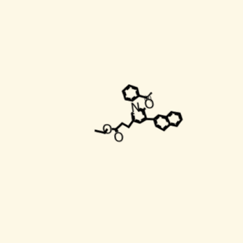 CCOC(=O)CCc1cnc(O[C@H](C)c2ccccc2)c(-c2ccc3ccccc3c2)c1